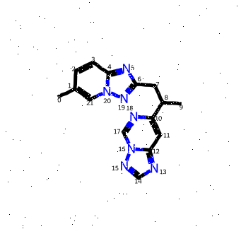 Cc1ccc2nc(CC(C)c3cc4ncnn4cn3)nn2c1